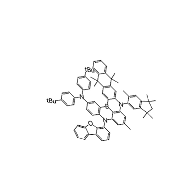 Cc1cc2c3c(c1)N(c1cccc4c1oc1ccccc14)c1ccc(N(c4ccc(C(C)(C)C)cc4)c4ccc(C(C)(C)C)cc4)cc1B3c1cc3c(cc1N2c1cc2c(cc1C)C(C)(C)CC2(C)C)C(C)(C)c1ccccc1C3(C)C